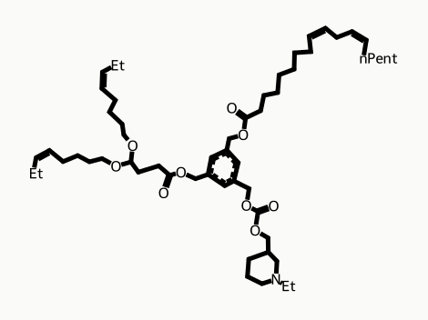 CC/C=C\CCCCOC(CCC(=O)OCc1cc(COC(=O)CCCCCCC/C=C\C/C=C\CCCCC)cc(COC(=O)OCC2CCCN(CC)C2)c1)OCCCC/C=C\CC